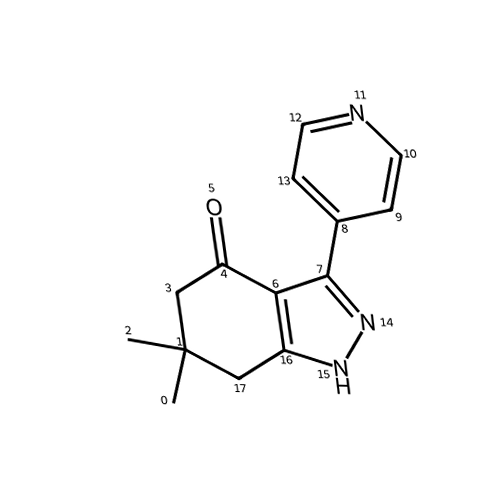 CC1(C)CC(=O)c2c(-c3ccncc3)n[nH]c2C1